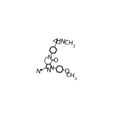 CNCC1(c2ccc(N3CCc4c(C#N)nn(-c5ccc(OC)cc5)c4C3=O)cc2)CC1